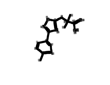 Cc1ccc(-c2noc(CC(C)(C)C(=O)O)n2)cc1